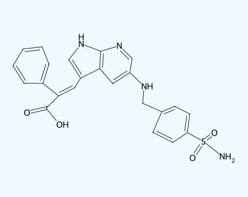 NS(=O)(=O)c1ccc(CNc2cnc3[nH]cc(/C=C(/C(=O)O)c4ccccc4)c3c2)cc1